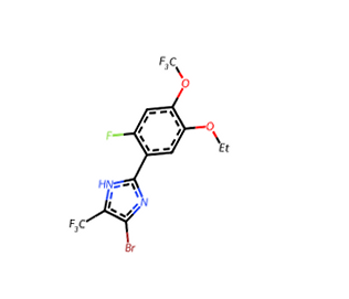 CCOc1cc(-c2nc(Br)c(C(F)(F)F)[nH]2)c(F)cc1OC(F)(F)F